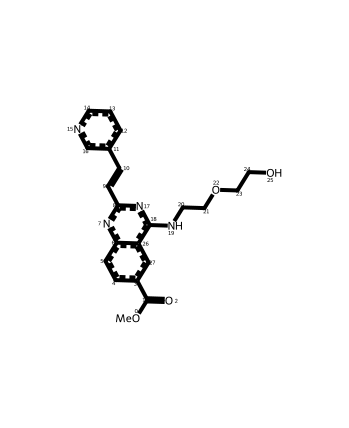 COC(=O)c1ccc2nc(C=Cc3cccnc3)nc(NCCOCCO)c2c1